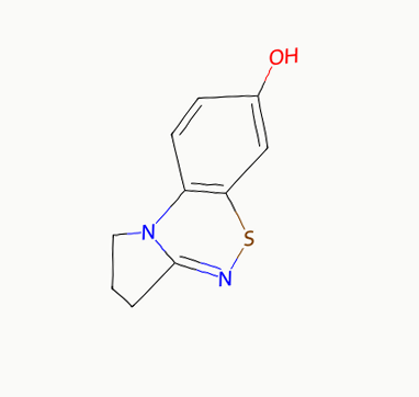 Oc1ccc2c(c1)SN=C1CCCN12